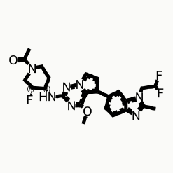 COc1nc(N[C@H]2CCN(C(C)=O)C[C@H]2F)nn2ccc(-c3ccc4nc(C)n(CC(F)F)c4c3)c12